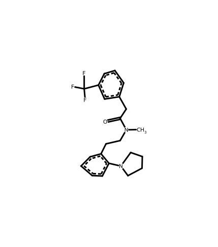 CN(CCc1ccccc1N1CCCC1)C(=O)Cc1cccc(C(F)(F)F)c1